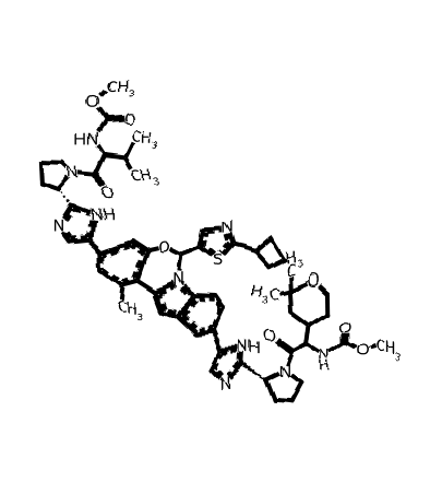 COC(=O)NC(C(=O)N1CCC[C@H]1c1ncc(-c2ccc3c(c2)cc2n3C(c3cnc(C4CCC4)s3)Oc3cc(-c4cnc([C@@H]5CCCN5C(=O)[C@@H](NC(=O)OC)C(C)C)[nH]4)cc(C)c3-2)[nH]1)C1CCOC(C)(C)C1